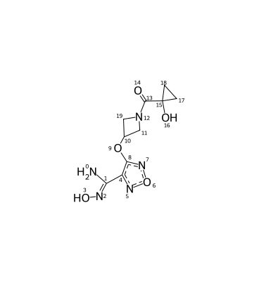 N/C(=N\O)c1nonc1OC1CN(C(=O)C2(O)CC2)C1